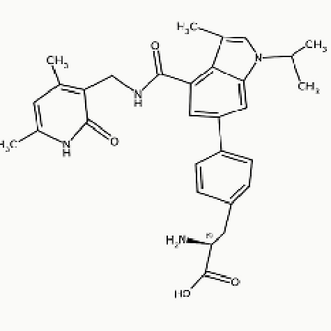 Cc1cc(C)c(CNC(=O)c2cc(-c3ccc(C[C@H](N)C(=O)O)cc3)cc3c2c(C)cn3C(C)C)c(=O)[nH]1